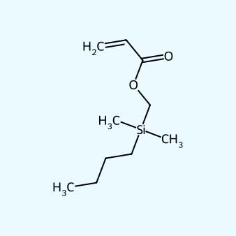 C=CC(=O)OC[Si](C)(C)CCCC